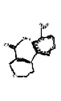 COC(=O)C1=C(c2cccc(OC)c2)CCOC1